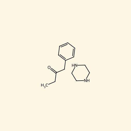 C1CNCCN1.CCC(=O)Cc1ccccc1